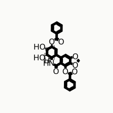 O=C(Oc1c2c(cc3c1C(=O)N[C@@H]1C3=C[C@H](OC(=O)c3ccccc3)[C@@H](O)[C@H]1O)OCO2)c1ccccc1